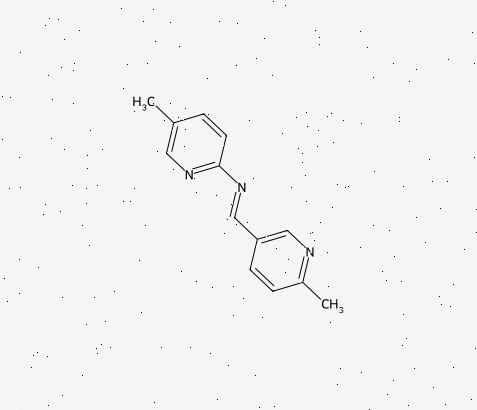 Cc1ccc(N=Cc2ccc(C)nc2)nc1